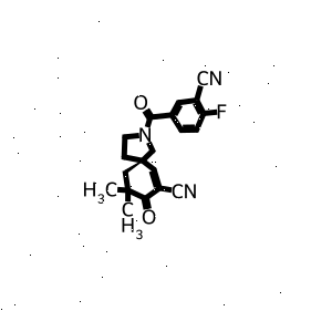 CC1(C)C[C@@]2(C=C(C#N)C1=O)CCN(C(=O)c1ccc(F)c(C#N)c1)C2